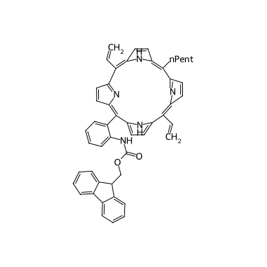 C=Cc1c2nc(c(-c3ccccc3NC(=O)OCC3c4ccccc4-c4ccccc43)c3ccc([nH]3)c(C=C)c3nc(c(CCCCC)c4ccc1[nH]4)C=C3)C=C2